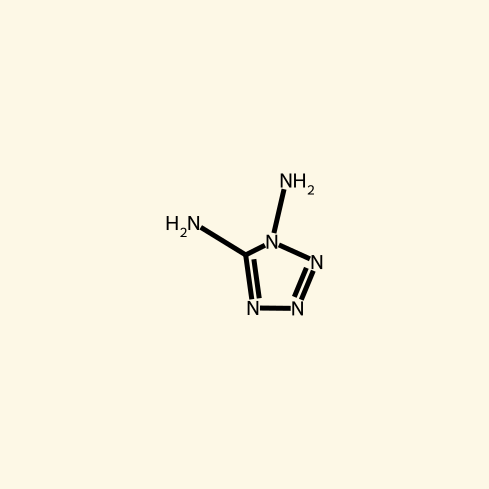 Nc1nnnn1N